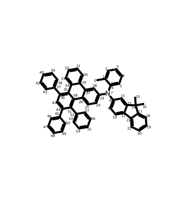 Cc1ccccc1N(c1ccc2c(c1)C(C)(C)c1ccccc1-2)c1ccc2c(c1)c1ccccc1c1c(-c3ccccc3)cc(-c3ccccc3)c(-c3ccccc3)c21